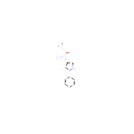 Cc1c(-c2ccc(O)cc2)nsc1NC(=O)[C@@H]1CC1C